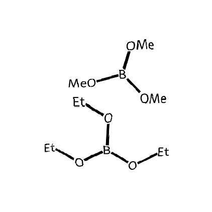 CCOB(OCC)OCC.COB(OC)OC